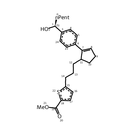 CCCCC[C@H](O)c1ccc(C2=CCCC2CCCc2ccc(C(=O)OC)s2)cc1